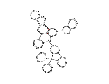 c1ccc(C2(c3ccccc3)c3ccccc3-c3ccc(N(c4cccc(-c5ccc6ccccc6c5)c4)c4ccccc4-c4ccc5sc6ccccc6c5c4)cc32)cc1